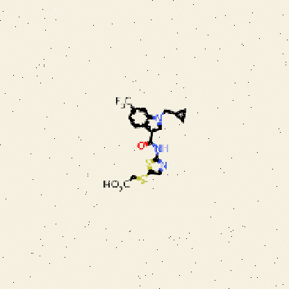 O=C(O)CSc1cnc(NC(=O)c2cn(CC3CC3)c3cc(C(F)(F)F)ccc23)s1